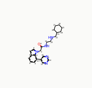 O=C(Cn1ccc2cccc(-c3cncnc3)c21)NCCNCC1CCCCC1